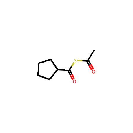 CC(=O)SC(=O)C1CCCC1